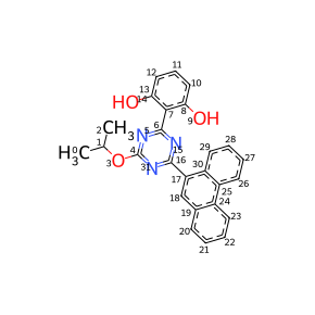 CC(C)Oc1nc(-c2c(O)cccc2O)nc(-c2cc3ccccc3c3ccccc23)n1